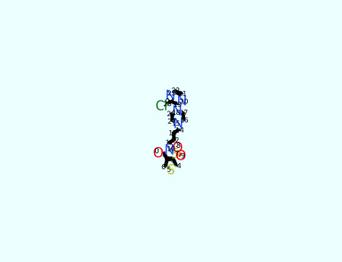 O=C1C2=C(CSC2)S(=O)(=O)N1CCCCN1CCN(c2nccnc2Cl)CC1